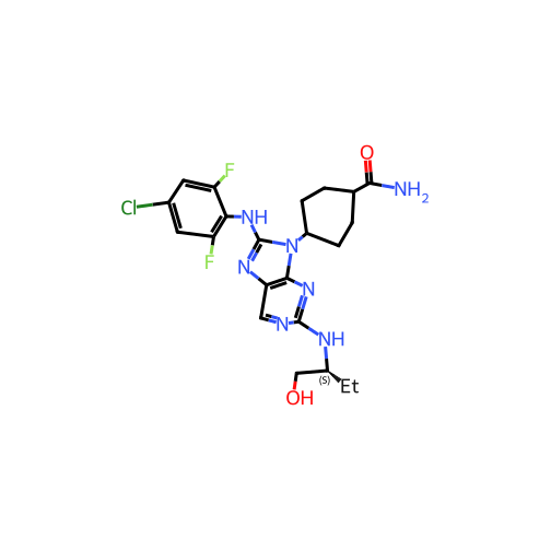 CC[C@@H](CO)Nc1ncc2nc(Nc3c(F)cc(Cl)cc3F)n(C3CCC(C(N)=O)CC3)c2n1